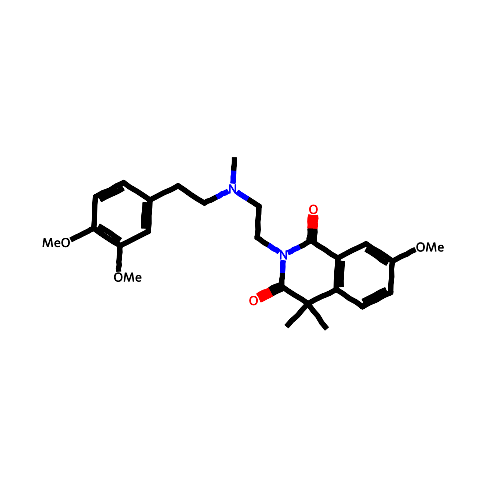 COc1ccc2c(c1)C(=O)N(CCN(C)CCc1ccc(OC)c(OC)c1)C(=O)C2(C)C